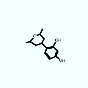 CC1CC(c2ccc(O)cc2O)CC(C)O1